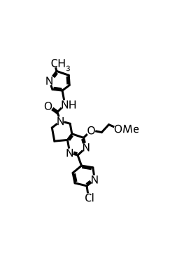 COCCOc1nc(-c2ccc(Cl)nc2)nc2c1CN(C(=O)Nc1ccc(C)nc1)CC2